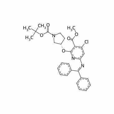 COC(=O)c1c(Cl)cc(N=C(c2ccccc2)c2ccccc2)nc1O[C@H]1CCN(C(=O)OC(C)(C)C)C1